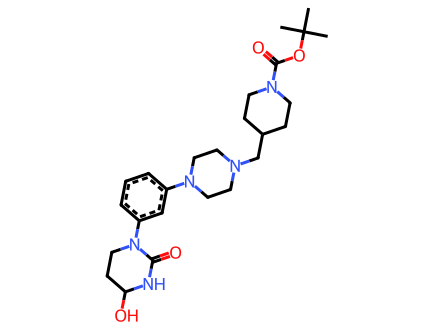 CC(C)(C)OC(=O)N1CCC(CN2CCN(c3cccc(N4CCC(O)NC4=O)c3)CC2)CC1